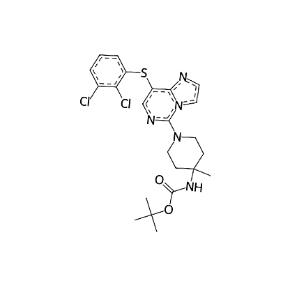 CC1(NC(=O)OC(C)(C)C)CCN(c2ncc(Sc3cccc(Cl)c3Cl)c3nccn23)CC1